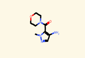 Cn1ncc(N)c1C(=O)N1CCOCC1